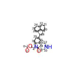 CC(=O)OCN1C(=O)C2(CCNCC2)c2cc(C3Cc4cccc5cccc3c45)ccc21